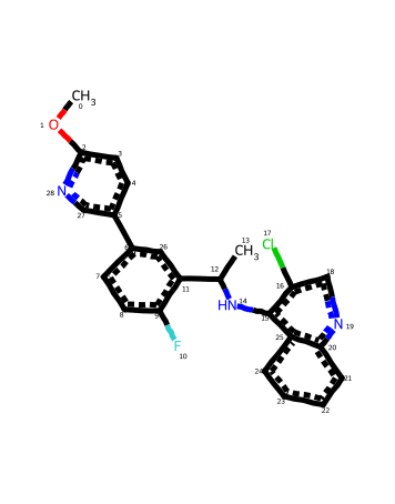 COc1ccc(-c2ccc(F)c(C(C)Nc3c(Cl)cnc4ccccc34)c2)cn1